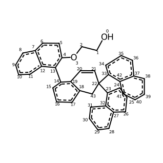 OCCOc1ccc2ccccc2c1-c1cccc2c1C=CC(c1cccc3ccccc13)(c1cccc3ccccc13)C2